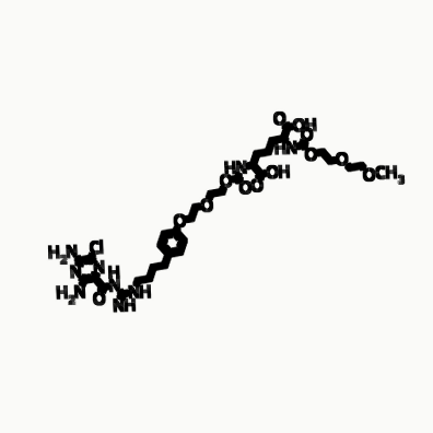 COCCOCCOC(=O)NC(CCCC(NC(=O)OCCOCCOc1ccc(CCCCNC(=N)NC(=O)c2nc(Cl)c(N)nc2N)cc1)C(=O)O)C(=O)O